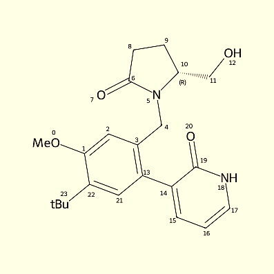 COc1cc(CN2C(=O)CC[C@@H]2CO)c(-c2ccc[nH]c2=O)cc1C(C)(C)C